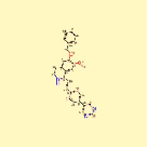 COc1cc2c(cc1OCc1ccccc1)CCNC2C=Cc1ccc(-c2cncnc2)cc1